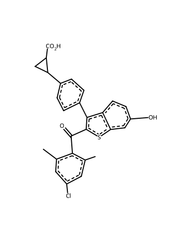 Cc1cc(Cl)cc(C)c1C(=O)c1sc2cc(O)ccc2c1-c1ccc(C2CC2C(=O)O)cc1